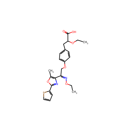 CCON=C(COc1ccc(CC(OCC)C(=O)O)cc1)c1nc(-c2cccs2)oc1C